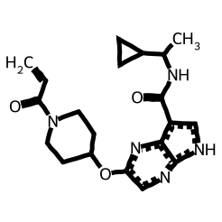 C=CC(=O)N1CCC(Oc2cnc3[nH]cc(C(=O)NC(C)C4CC4)c3n2)CC1